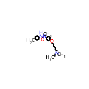 C=CCN(C)CCCCCCOc1ccc(N(C)C(=O)Nc2ccc(C)cc2)cc1